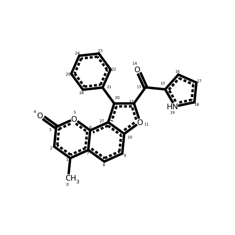 Cc1cc(=O)oc2c1ccc1oc(C(=O)c3ccc[nH]3)c(-c3ccccc3)c12